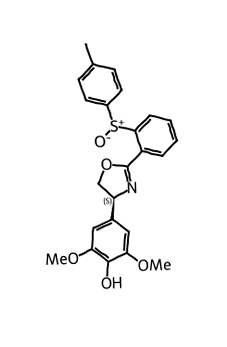 COc1cc([C@H]2COC(c3ccccc3[S+]([O-])c3ccc(C)cc3)=N2)cc(OC)c1O